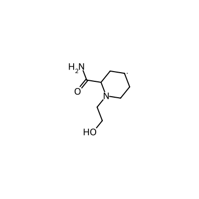 NC(=O)C1C[CH]CCN1CCO